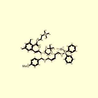 COc1ccc(COC(/C=C\C[C@H](C)O[Si](c2ccccc2)(c2ccccc2)C(C)(C)C)[C@H]2OC(C)(C)O[C@H]2C/C=C/c2cc(C)cc(C)c2C(=O)OCC[Si](C)(C)C)cc1